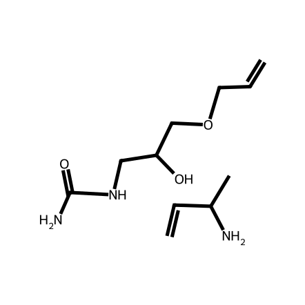 C=CC(C)N.C=CCOCC(O)CNC(N)=O